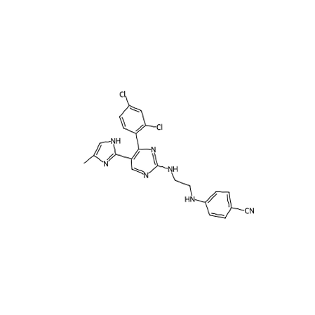 Cc1c[nH]c(-c2cnc(NCCNc3ccc(C#N)cc3)nc2-c2ccc(Cl)cc2Cl)n1